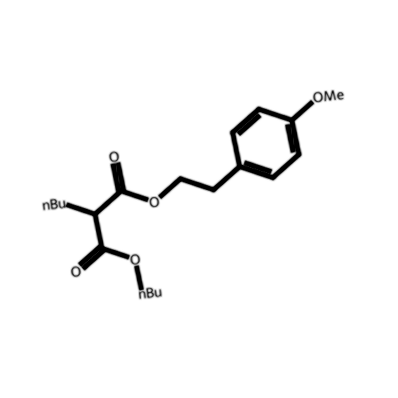 CCCCOC(=O)C(CCCC)C(=O)OCCc1ccc(OC)cc1